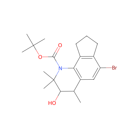 CC1c2cc(Br)c3c(c2N(C(=O)OC(C)(C)C)C(C)(C)C1O)CCC3